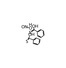 O=NO.OC(=S)c1ccccc1.OC(=S)c1ccccc1